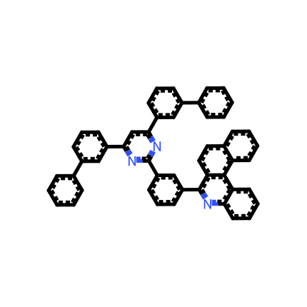 c1ccc(-c2cccc(-c3cc(-c4cccc(-c5ccccc5)c4)nc(-c4cccc(-c5nc6ccccc6c6c5ccc5ccccc56)c4)n3)c2)cc1